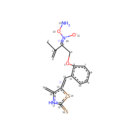 C=C(C)/C(COc1ccccc1/C=c1\sc(=S)[nH]c1=C)=[N+](/[O-])ON